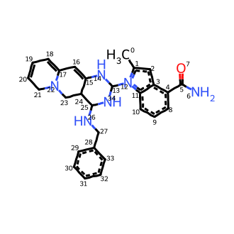 Cc1cc2c(C(N)=O)cccc2n1C1NC2=CC3=CC=CCN3CC2C(NCc2ccccc2)N1